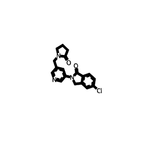 O=C1CCCN1Cc1cncc(N2Cc3cc(Cl)ccc3C2=O)c1